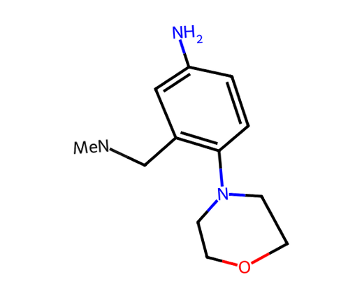 CNCc1cc(N)ccc1N1CCOCC1